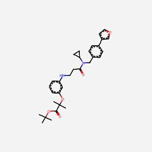 CC(C)(C)OC(=O)C(C)(C)Oc1cccc(NCCC(=O)N(Cc2ccc(-c3ccoc3)cc2)C2CC2)c1